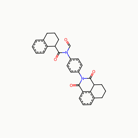 O=CN(C(=O)C1CCCc2ccccc21)c1ccc(N2C(=O)c3cccc4c3C(CCC4)C2=O)cc1